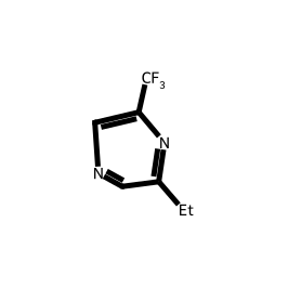 CCc1cncc(C(F)(F)F)n1